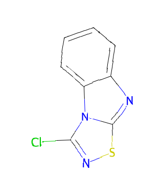 Clc1nsc2nc3ccccc3n12